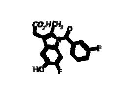 Cc1c(CC(=O)O)c2cc(O)c(F)cc2n1C(=O)c1cccc(F)c1